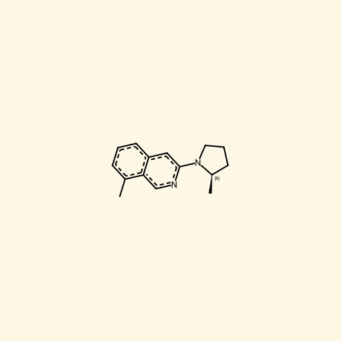 Cc1cccc2cc(N3CCC[C@H]3C)ncc12